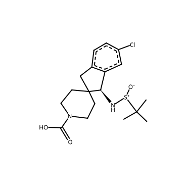 CC(C)(C)[S+]([O-])N[C@@H]1c2cc(Cl)ccc2CC12CCN(C(=O)O)CC2